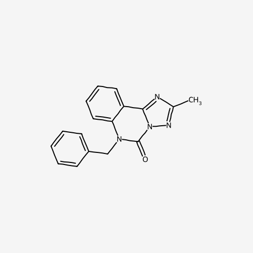 Cc1nc2c3ccccc3n(Cc3ccccc3)c(=O)n2n1